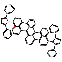 c1ccc(-c2c3cccc(-c4ccc(-n5c(-c6ccccc6)ccc5-c5ccccc5)cc4)c3c(-c3ccccc3)c3cccc(-c4ccc(-n5c(-c6ccccc6)ccc5-c5ccccc5)cc4)c23)cc1